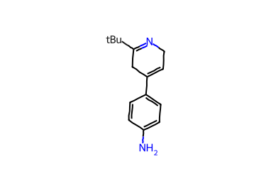 CC(C)(C)C1=NCC=C(c2ccc(N)cc2)C1